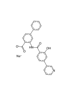 O=C(Nc1cc(-c2ccccc2)ccc1C(=O)[O-])c1ccc(-c2cccnc2)cc1O.[Na+]